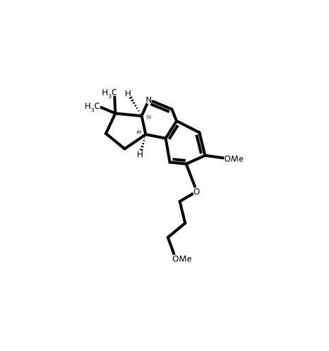 COCCCOc1cc2c(cc1OC)C=N[C@H]1[C@@H]2CCC1(C)C